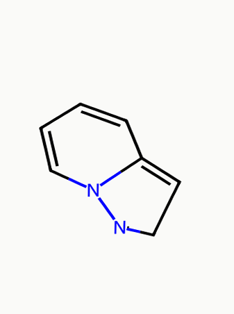 C1=CC2=CC[N]N2C=C1